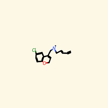 C#C/C=C/CN(C)CC1=CCOc2ccc(Cl)cc21